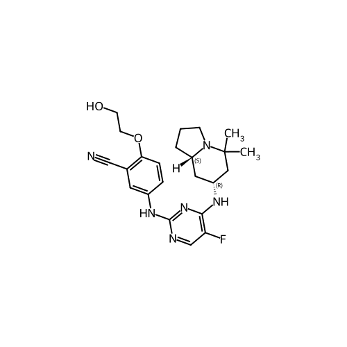 CC1(C)C[C@H](Nc2nc(Nc3ccc(OCCO)c(C#N)c3)ncc2F)C[C@@H]2CCCN21